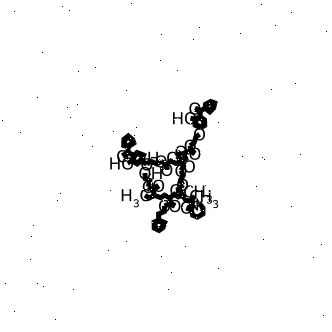 CCC(CCC(CCC(C)(CC(C)N1CCCCCC1=O)C(=O)OCCOC(=O)C(CCC(=O)OCCOc1ccc(C(=O)c2ccccc2)c(O)c1)(CCC(=O)OCCOc1ccc(C(=O)c2ccccc2)c(O)c1)C(C)=O)C(=O)OCCc1ccccc1)C(=O)OCCO